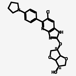 O[C@@H]1COC2C1OC[C@H]2Oc1nc2nc(-c3ccc(N4CCCC4)cc3)c(Cl)cc2[nH]1